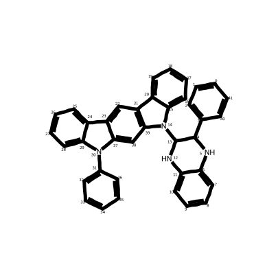 c1ccc(C2Nc3ccccc3NC2n2c3ccccc3c3cc4c5ccccc5n(-c5ccccc5)c4cc32)cc1